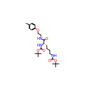 [CH2]c1ccc(OCCNC(=O)[C@H](CCCCNC(=O)OC(C)(C)C)NC(=O)OC(C)(C)C)cc1